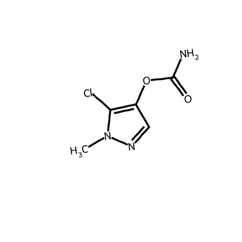 Cn1ncc(OC(N)=O)c1Cl